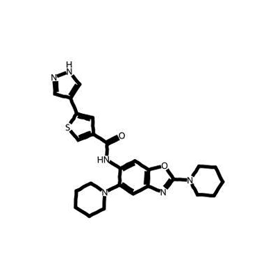 O=C(Nc1cc2oc(N3CCCCC3)nc2cc1N1CCCCC1)c1csc(-c2cn[nH]c2)c1